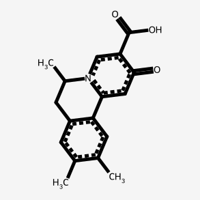 Cc1cc2c(cc1C)-c1cc(=O)c(C(=O)O)cn1C(C)C2